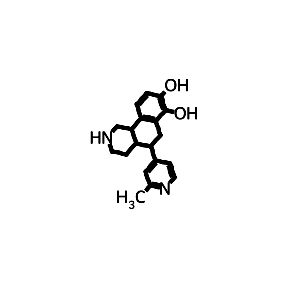 Cc1cc(C2Cc3c(ccc(O)c3O)C3CNCCC23)ccn1